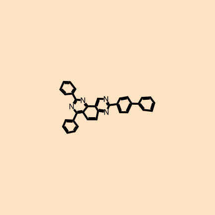 c1ccc(-c2ccc(-c3ncc4c(ccc5c(-c6ccccc6)nc(-c6ccccc6)nc54)n3)cc2)cc1